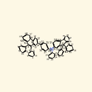 c1ccc(-c2c(-c3ccccc3)c3cc(-c4ccc(N(c5ccccc5)c5ccc6c(c5)C(c5ccccc5)(c5ccccc5)c5ccccc5-6)cc4)ccc3c3ccccc23)cc1